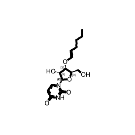 CCCCC=CO[C@H]1[C@@H](O)[C@H](n2ccc(=O)[nH]c2=O)O[C@@H]1CO